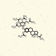 CC(=O)OC[C@H]1O[C@H](Oc2cc3c(cc2OC(C)=O)C2CC[C@@]4(C)C(CC[C@H]4OC(C)=O)C2CC3)[C@H](OC(C)=O)[C@@H](OC(C)=O)[C@@H]1OC(C)=O